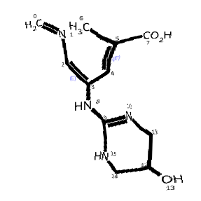 C=N/C=C(\C=C(/C)C(=O)O)NC1=NCC(O)CN1